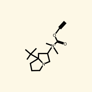 C#COC(=O)[N+](C)(C)C1CN2CCCC2(C(C)(C)C)C1